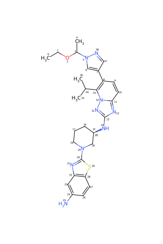 CCOC(C)n1cc(-c2ccc3nc(N[C@@H]4CCCN(c5nc6cc(N)ccc6s5)C4)nn3c2C(C)C)cn1